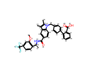 COc1cc(C(F)(F)F)ccc1[C@H](C)NC(=O)c1ccc2c(c1)c(C)c(C)n2Cc1ccc(-c2ccccc2C(=O)O)cc1